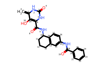 C=C1NC(=O)NC(C(=O)N[C@@H]2CCCc3cc(NC(=O)c4ccccc4)ccc32)=C1O